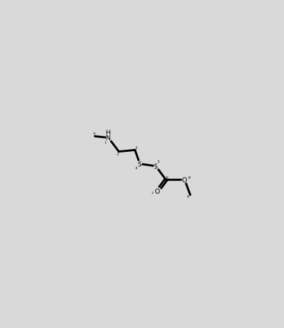 CNCCSSC(=O)OC